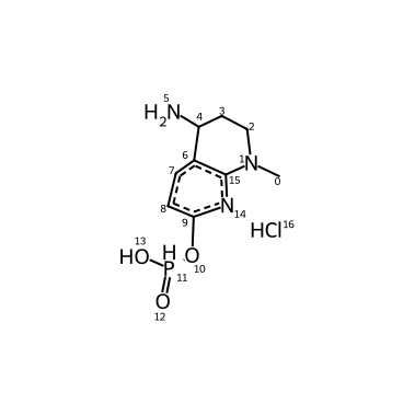 CN1CCC(N)c2ccc(O[PH](=O)O)nc21.Cl